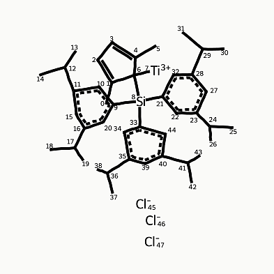 CC1=CC=C(C)[C]1([Ti+3])[Si](c1cc(C(C)C)cc(C(C)C)c1)(c1cc(C(C)C)cc(C(C)C)c1)c1cc(C(C)C)cc(C(C)C)c1.[Cl-].[Cl-].[Cl-]